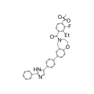 CCc1c(C(=O)N2CCOc3ccc(-c4ccc(-c5cnc(-c6ccccc6)[nH]5)cc4)cc3C2)ccc(S(C)(=O)=O)c1F